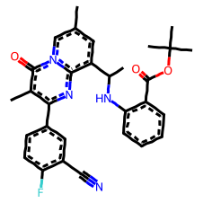 Cc1cc(C(C)Nc2ccccc2C(=O)OC(C)(C)C)c2nc(-c3ccc(F)c(C#N)c3)c(C)c(=O)n2c1